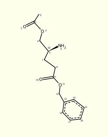 CC(=O)OC[C@@H](N)CCC(=O)OCc1ccccc1